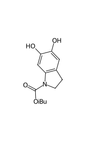 CC(C)COC(=O)N1CCc2cc(O)c(O)cc21